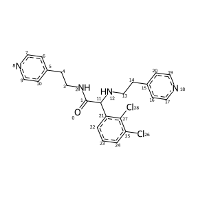 O=C(NCCc1ccncc1)C(NCCc1ccncc1)c1cccc(Cl)c1Cl